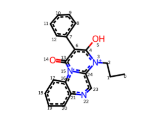 CCC[n+]1c(O)c(-c2ccccc2)c(=O)n2c3ccccc3ncc21